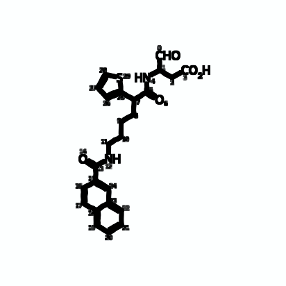 O=CC(CC(=O)O)NC(=O)C(CCCCNC(=O)c1ccc2ccccc2c1)c1cccs1